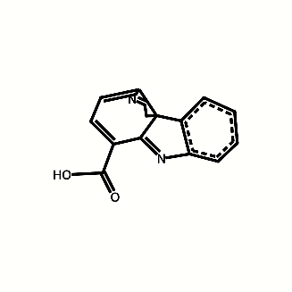 O=C(O)C1=CC=C2N=CCC23C1=Nc1ccccc13